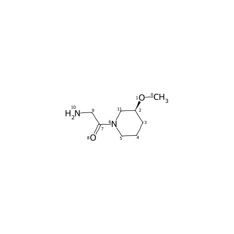 CO[C@H]1CCCN(C(=O)CN)C1